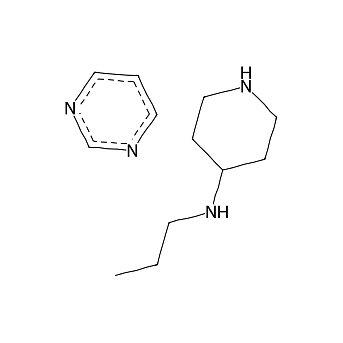 CCCNC1CCNCC1.c1cncnc1